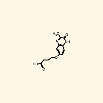 Cc1nc2cc(OCCCC(=O)O)ccc2[nH]c1=O